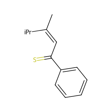 C/C(=C/C(=S)c1ccccc1)C(C)C